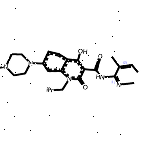 C/C=C(C)\C(=N/C)NC(=O)c1c(O)c2ccc(N3CCN(C)CC3)cc2n(CC(C)C)c1=O